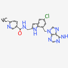 N#Cc1ccc(C(=O)NCc2cc3cc(Cl)cc(Cn4cnc5c(N)ncnc54)c3[nH]2)cn1